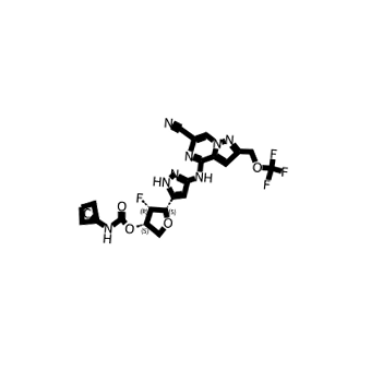 N#Cc1cn2nc(COC(F)(F)F)cc2c(Nc2cc([C@@H]3OC[C@H](OC(=O)NC45CC(C4)C5)[C@@H]3F)[nH]n2)n1